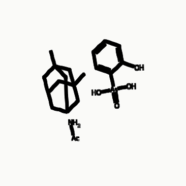 CC(N)=O.CC12CC3CC(C1)CC(C)(C3)C2.O=[As](O)(O)c1ccccc1O